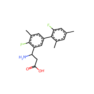 Cc1cc(C)c(-c2cc(C)c(F)c(C(N)CC(=O)O)c2)c(F)c1